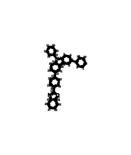 c1ccc(-c2ccc3c(c2)c2cc(-c4ccc(-c5nc6ccccc6o5)cc4)ccc2n3-c2ccccc2)cc1